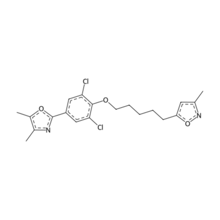 Cc1cc(CCCCCOc2c(Cl)cc(-c3nc(C)c(C)o3)cc2Cl)on1